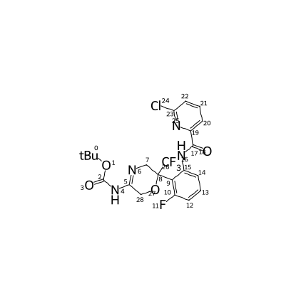 CC(C)(C)OC(=O)NC1=NCC(c2c(F)cccc2NC(=O)c2cccc(Cl)n2)(C(F)(F)F)OC1